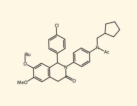 CCC(C)Oc1cc2c(cc1OC)CC(=O)N(c1ccc(N(CC3CCCC3)C(C)=O)cc1)C2c1ccc(Cl)cc1